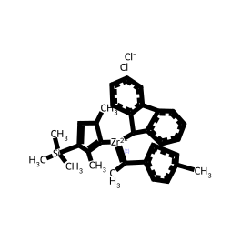 CC1=[C](/[Zr+2](=[C](\C)c2ccc(C)cc2)[CH]2c3ccccc3-c3ccccc32)C(C)C=C1[Si](C)(C)C.[Cl-].[Cl-]